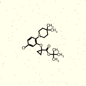 CC1(C)CCN(c2ccc(Cl)cc2OC2(C(=O)OC(C)(C)C)CC2)CC1